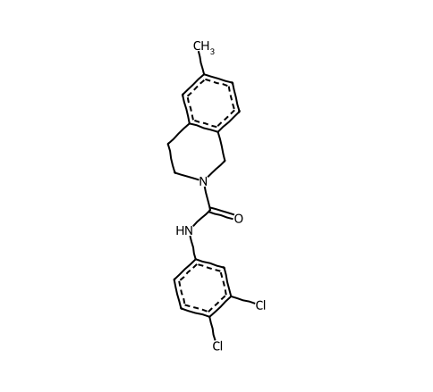 Cc1ccc2c(c1)CCN(C(=O)Nc1ccc(Cl)c(Cl)c1)C2